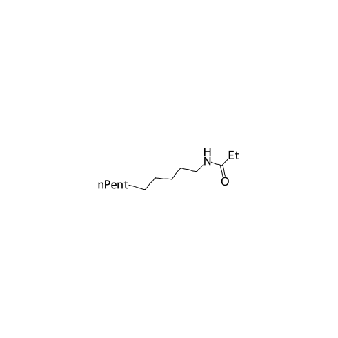 [CH2]CC(=O)NCCCCCCCCCC